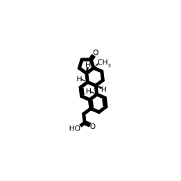 C[C@]12CC[C@H]3[C@@H](C=CC4=C(CC(=O)O)CC=C[C@@H]43)[C@@H]1CCC2=O